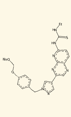 CCNC(=S)Nc1ccc2ncc(-c3cnn(Cc4ccc(OCOC)cc4)c3)nc2n1